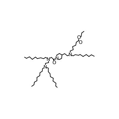 CCCCCCCCCN(CCCCCC(=O)OCCC)CCC1CCN(C(=O)CN(CCCCCCCCC)CCN(CCCCCCCCC)CCCCCCCCC)CC1